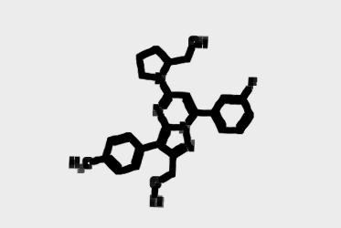 CCOCc1nn2c(-c3cccc(F)c3)cc(N3CCCC3CO)nc2c1-c1ccc(C)cc1